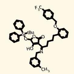 Cc1cccc(CN=C(CCCCc2ccccc2OCc2ccc(C(F)(F)F)cc2)C2=C(O)C(O[Si](c3ccccc3)(c3ccccc3)C(C)(C)C)OC2=O)c1